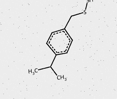 CC(C)c1ccc(CSS)cc1